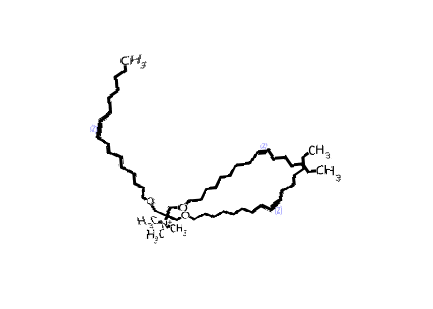 CCCCCC/C=C\CCCCCCCCOCC(COCCCCCCCC/C=C\CCCCCC)(COCCCCCCCC/C=C\CCCCCC)[N+](C)(C)C